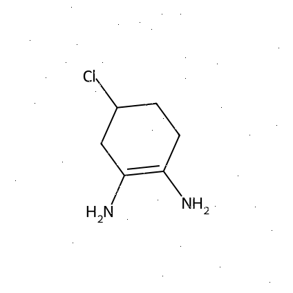 NC1=C(N)CC(Cl)CC1